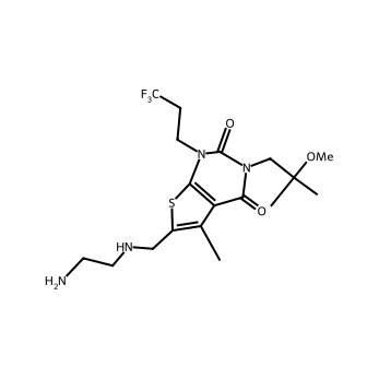 COC(C)(C)Cn1c(=O)c2c(C)c(CNCCN)sc2n(CCC(F)(F)F)c1=O